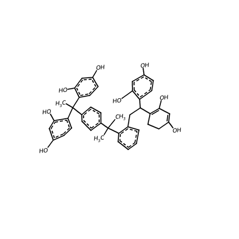 CC(C)(c1ccc(C(C)(c2ccc(O)cc2O)c2ccc(O)cc2O)cc1)c1ccccc1CC(C1=C(O)C=C(O)CC1)c1ccc(O)cc1O